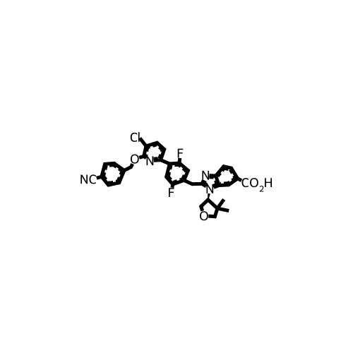 CC1(C)COC[C@H]1n1c(Cc2cc(F)c(-c3ccc(Cl)c(OCc4ccc(C#N)cc4)n3)cc2F)nc2ccc(C(=O)O)cc21